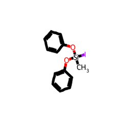 C[Si](I)(Oc1ccccc1)Oc1ccccc1